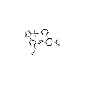 O=C(O)N1CC[C@H](NCc2cc(-n3nnnc3C(F)(F)F)ccc2OC2CC2)[C@H](c2ccccc2)C1